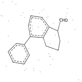 O=CC1CCCc2c(-c3ccccc3)cccc21